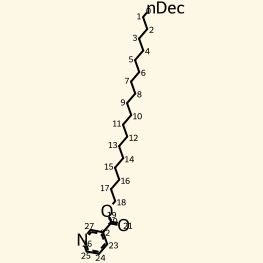 CCCCCCCCCCCCCCCCCCCCCCCCCCCCOC(=O)c1cccnc1